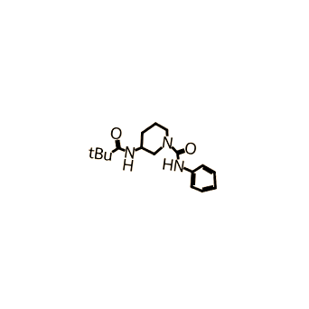 CC(C)(C)C(=O)NC1CCCN(C(=O)Nc2ccccc2)C1